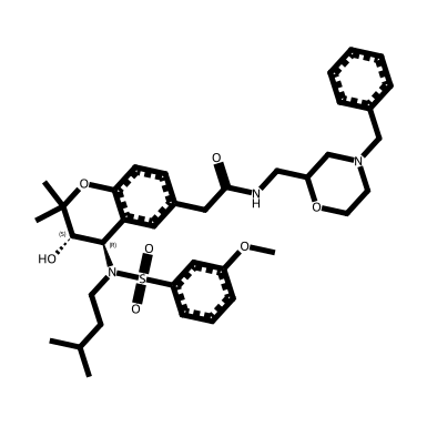 COc1cccc(S(=O)(=O)N(CCC(C)C)[C@@H]2c3cc(CC(=O)NCC4CN(Cc5ccccc5)CCO4)ccc3OC(C)(C)[C@H]2O)c1